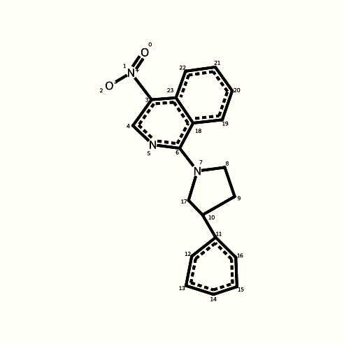 O=[N+]([O-])c1cnc(N2CCC(c3ccccc3)C2)c2ccccc12